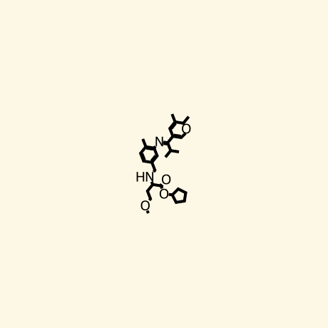 C/C=C(\C=C(\C)C(C)=O)C(=N/c1cc(CNC(CCOC)C(=O)OC2CCCC2)ccc1C)/C(C)C